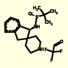 CC(C)(C)[S@@+]([O-])N[C@@H]1c2ccccc2CC12CCNCC2.O=CC(F)(F)F